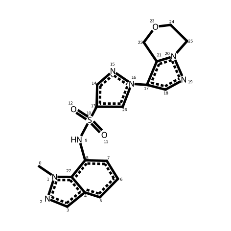 Cn1ncc2cccc(NS(=O)(=O)c3cnn(-c4cnn5c4COCC5)c3)c21